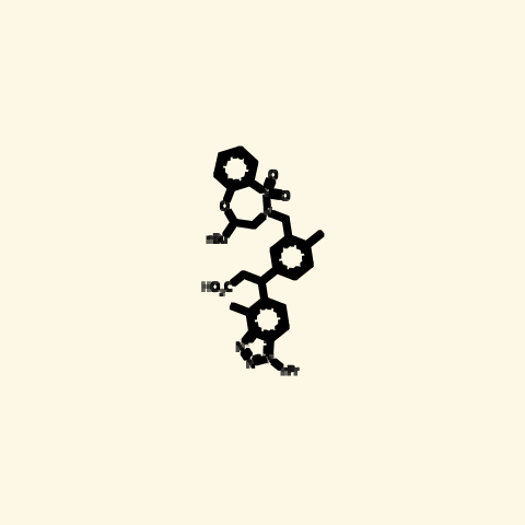 CCCCC1CN(Cc2cc(C(CC(=O)O)c3ccc4c(nnn4CCC)c3C)ccc2C)S(=O)(=O)c2ccccc2O1